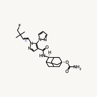 CC(C)(/C=C/n1ncc(C(=O)N[C@H]2C3CC4CC2C[C@](OC(N)=O)(C4)C3)c1-n1cccn1)CF